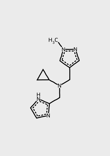 Cn1cc(CN(Cc2ncc[nH]2)C2CC2)cn1